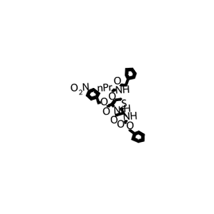 CCCC(NC(=O)Cc1ccccc1)OC1=C(C(=O)OCc2ccc([N+](=O)[O-])cc2)N2C(=O)[C@H](NC(=O)OCc3ccccc3)[C@@H]2SC1